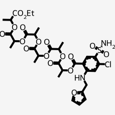 CCOC(=O)C(C)OC(=O)C(C)OC(=O)C(C)OC(=O)C(C)OC(=O)C(C)OC(=O)C(C)OC(=O)c1cc(S(N)(=O)=O)c(Cl)cc1NCc1ccco1